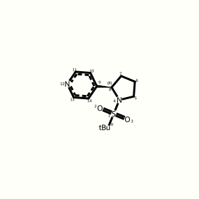 CC(C)(C)S(=O)(=O)N1CCC[C@@H]1c1ccncc1